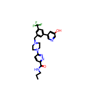 CCCNC(=O)c1ccc(N2CCN(Cc3cc(-c4cncc(O)c4)cc(C(F)(F)F)c3)CC2)nn1